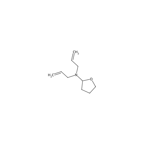 C=CCN(CC=C)[C]1CCCO1